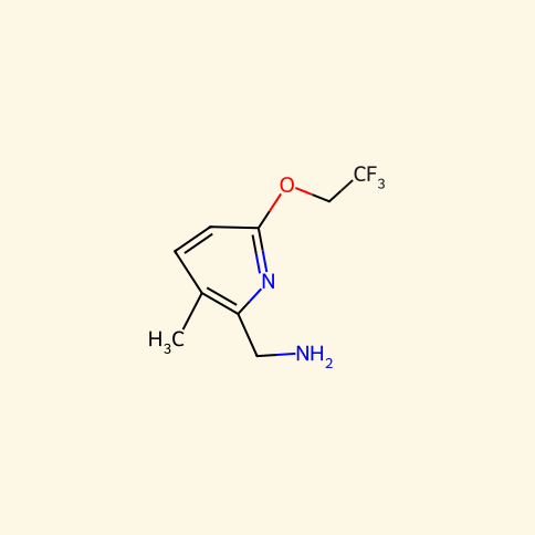 Cc1ccc(OCC(F)(F)F)nc1CN